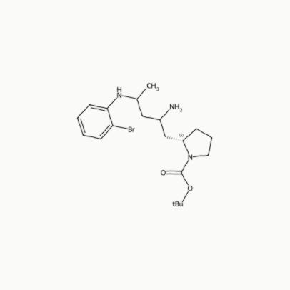 CC(CC(N)C[C@@H]1CCCN1C(=O)OC(C)(C)C)Nc1ccccc1Br